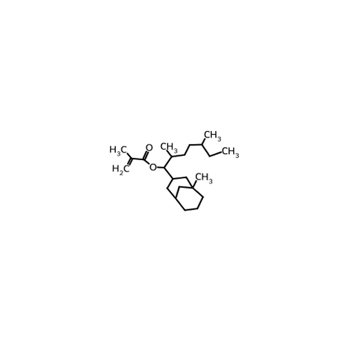 C=C(C)C(=O)OC(C(C)CCC(C)CC)C1CC2CCCC(C)(C2)C1